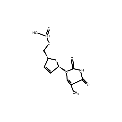 Cc1cn([C@H]2C=C[C@@H](CO[PH](=O)O)O2)c(=O)[nH]c1=O